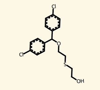 OCCSCCOC(c1ccc(Cl)cc1)c1ccc(Cl)cc1